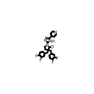 O=C1N(c2nnc(-c3ccncc3)[nH]2)CCC1(Cc1ccc(F)c(F)c1)Cc1ccc(F)c(F)c1